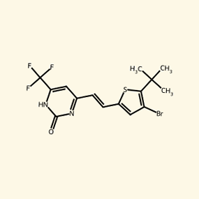 CC(C)(C)c1sc(/C=C/c2cc(C(F)(F)F)[nH]c(=O)n2)cc1Br